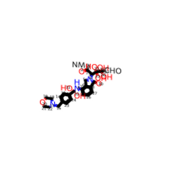 CNC(=O)C(N1Cc2c(NC(O)(O)c3ccc(CN4CCOCC4)cc3)cccc2C1=O)C(O)(O)C(O)(O)C=O